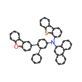 c1ccc(-c2cc(N(c3cc4ccccc4c4ccccc34)c3cccc4c3sc3ccccc34)ccc2-c2ccc3oc4ccccc4c3c2)cc1